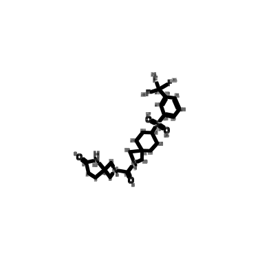 O=C1CCC2(CN(C(=O)N3CC4(CCC(S(=O)(=O)c5cccc(C(F)(F)F)c5)CC4)C3)C2)N1